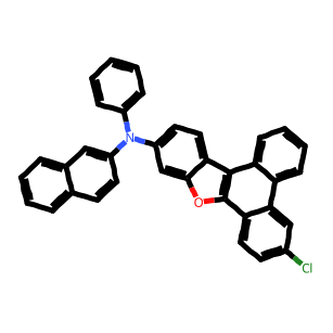 Clc1ccc2c(c1)c1ccccc1c1c3ccc(N(c4ccccc4)c4ccc5ccccc5c4)cc3oc21